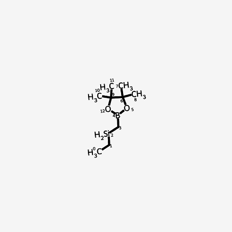 CC[SiH2]CB1OC(C)(C)C(C)(C)O1